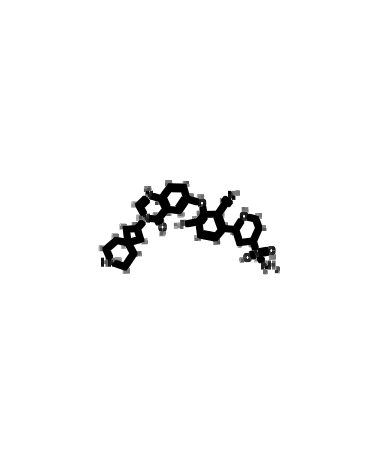 N#Cc1c(C2CC(S(N)(=O)=O)CCO2)ccc(F)c1Oc1ccc2ncn(C3CC4(CCNCC4)C3)c(=O)c2c1